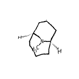 CN1[C@@H]2C[CH]C[C@H]1CCC2